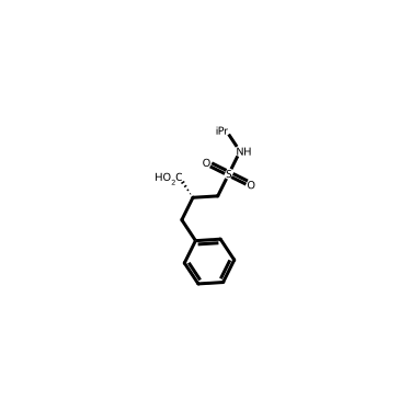 CC(C)NS(=O)(=O)C[C@H](Cc1ccccc1)C(=O)O